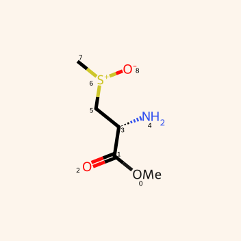 COC(=O)[C@@H](N)C[S+](C)[O-]